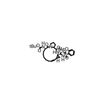 COc1ccccc1S(=O)(=O)NC(=O)[C@@]12C[C@H]1/C=C\CCCCC[C@H](NC(=O)OC(C)(C)C)C(=O)N1CCCC1C(=O)N2